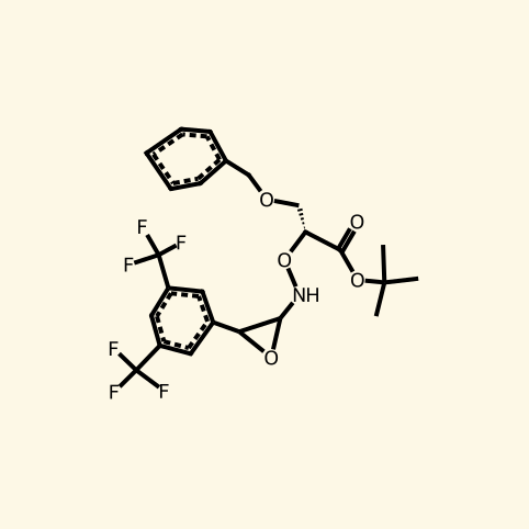 CC(C)(C)OC(=O)[C@@H](COCc1ccccc1)ONC1OC1c1cc(C(F)(F)F)cc(C(F)(F)F)c1